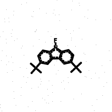 CC(C)(C)c1ccc2c(c1)c1cc(C(C)(C)C)ccc1n2F